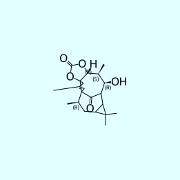 CC1=CC23C(=O)C(C4C(C[C@H]2C)C4(C)C)[C@H](O)[C@H](C)[C@H]2OC(=O)OC23C1